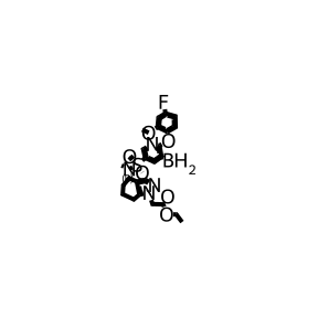 Bc1cc(S(=O)(=O)N(C)[C@@H]2CCCc3c2cnn3CC(=O)OCC)cnc1Oc1ccc(F)cc1OC